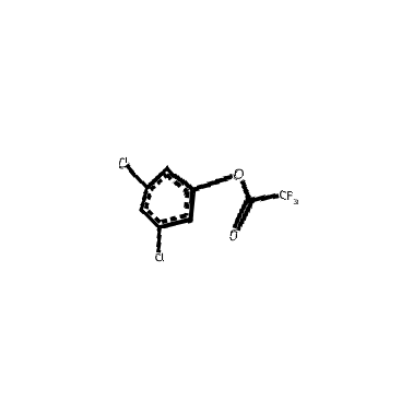 O=C(Oc1cc(Cl)cc(Cl)c1)C(F)(F)F